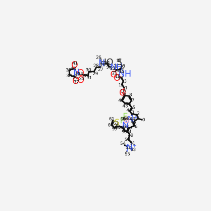 CC1CC(/C=C/c2ccc(OCCCC(=O)NC(CS(=O)(=O)O)C(=O)NCCN(C)CCCCCC(=O)ON3C(=O)CCC3=O)cc2)=[N+]2C1=Cc1c(CCC[N+](C)(C)C)cc(-c3cccs3)n1[B-]2(F)F